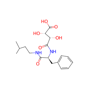 CC(C)CCNC(=O)[C@H](Cc1ccccc1)NC(=O)[C@@H](O)[C@H](O)C(=O)O